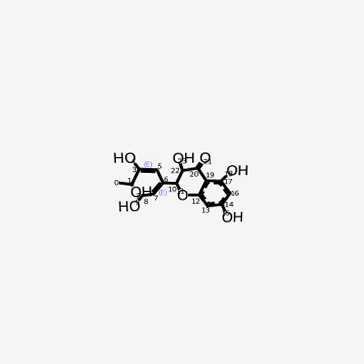 CC(O)/C(O)=C\C(=C/CO)C1Oc2cc(O)cc(O)c2C(=O)C1O